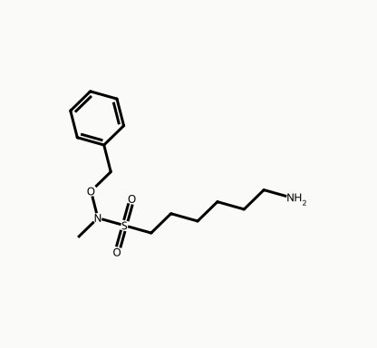 CN(OCc1ccccc1)S(=O)(=O)CCCCCCN